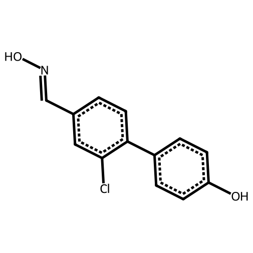 ON=Cc1ccc(-c2ccc(O)cc2)c(Cl)c1